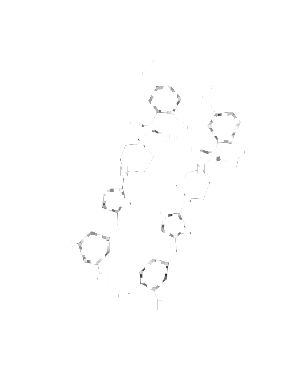 COc1ccc(OC)c(S(=O)(=O)N2CCN(c3nc(Cc4cc(F)cc(Cl)c4)cs3)CC2)c1.COc1ccc(OC)c(S(=O)(=O)N2CCN(c3nc(Cc4ccc(Cl)c(F)c4)cs3)CC2)c1